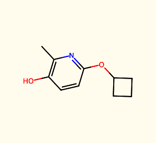 Cc1nc(OC2CCC2)ccc1O